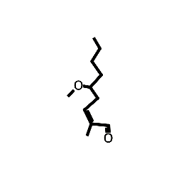 CCCCC(CC=C(C)C=O)OC